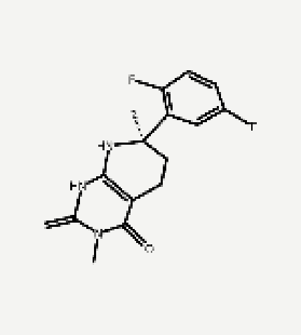 C=C1NC2=C(CC[C@](C)(c3cc(F)ccc3F)N2)C(=O)N1C